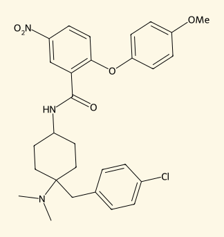 COc1ccc(Oc2ccc([N+](=O)[O-])cc2C(=O)NC2CCC(Cc3ccc(Cl)cc3)(N(C)C)CC2)cc1